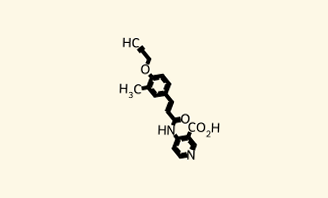 C#CCOc1ccc(/C=C/C(=O)Nc2ccncc2C(=O)O)cc1C